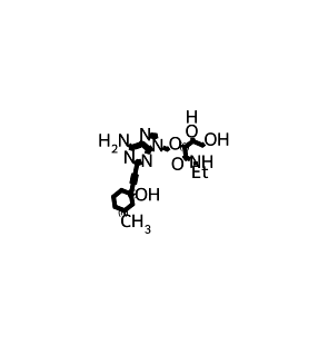 CCNC(=O)[C@@H](OCn1cnc2c(N)nc(C#C[C@]3(O)CCC[C@@H](C)C3)nc21)C(O)CO